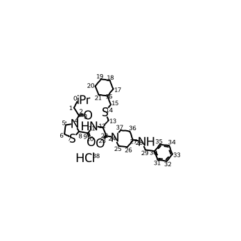 CC(C)CC(=O)N1[CH]CSC1C(=O)N[C@@H](CSCC1CCCCC1)C(=O)N1CCC(NCc2ccccc2)CC1.Cl